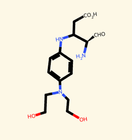 N[C@H](C=O)C(CC(=O)O)Nc1ccc(N(CCO)CCO)cc1